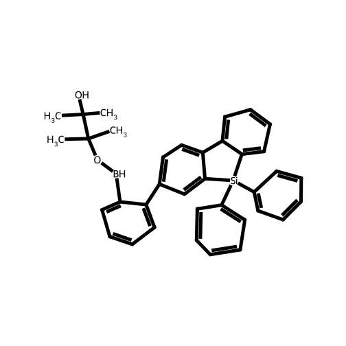 CC(C)(O)C(C)(C)OBc1ccccc1-c1ccc2c(c1)[Si](c1ccccc1)(c1ccccc1)c1ccccc1-2